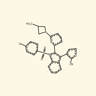 N#Cc1sccc1-c1c(-c2cccc(N3CC(C(=O)O)C3)n2)n(S(=O)(=O)c2ccc(Cl)cc2)c2ccccc12